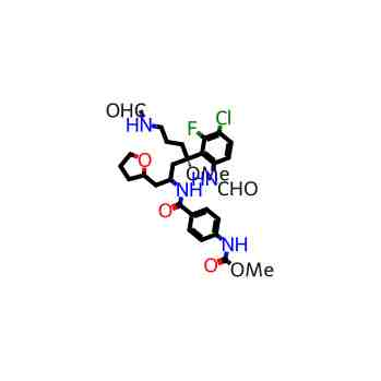 COC(=O)Nc1ccc(C(=O)NC(CC2CCCO2)C[C@](CCCNC=O)(OC)c2c(NC=O)ccc(Cl)c2F)cc1